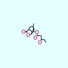 CCC(=O)CC(=O)OC1C2OC(=O)C3CC1(C)CC32